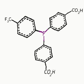 O=C(O)c1ccc(P(c2ccc(C(=O)O)cc2)c2ccc(C(F)(F)F)cc2)cc1